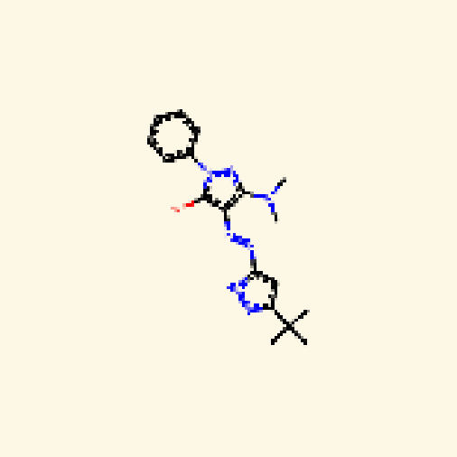 CN(C)c1nn(-c2ccccc2)c(O)c1/N=N/c1cc(C(C)(C)C)n[nH]1